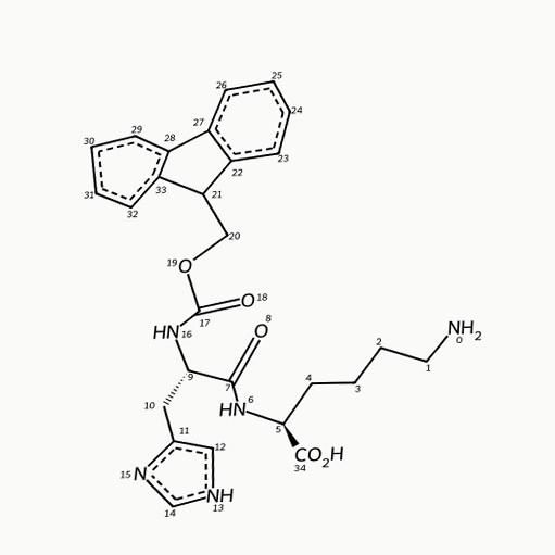 NCCCC[C@H](NC(=O)[C@H](Cc1c[nH]cn1)NC(=O)OCC1c2ccccc2-c2ccccc21)C(=O)O